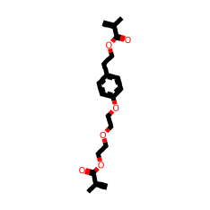 C=C(C)C(=O)OCCOCCOc1ccc(CCOC(=O)C(=C)C)cc1